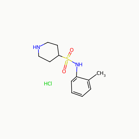 Cc1ccccc1NS(=O)(=O)C1CCNCC1.Cl